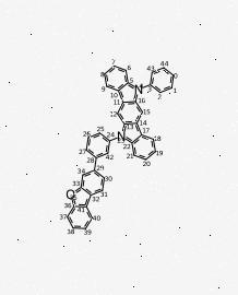 c1ccc(-n2c3ccccc3c3cc4c(cc32)c2ccccc2n4-c2cccc(-c3ccc4c(c3)oc3ccccc34)c2)cc1